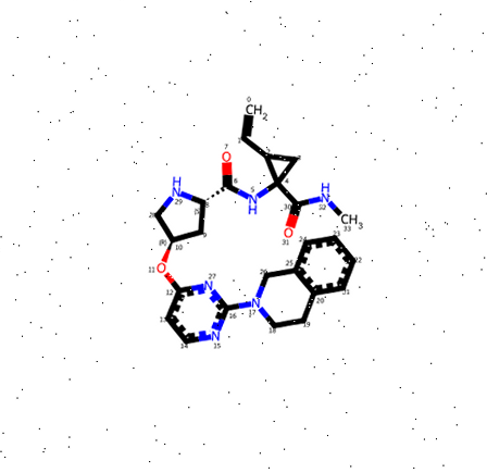 C=CC1CC1(NC(=O)[C@@H]1C[C@@H](Oc2ccnc(N3CCc4ccccc4C3)n2)CN1)C(=O)NC